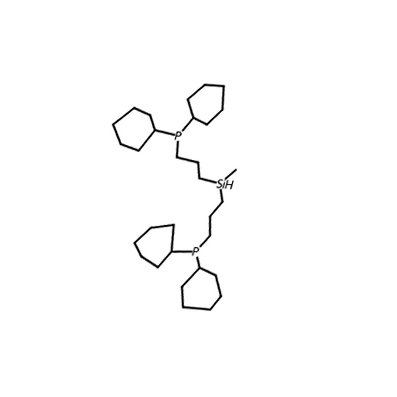 C[SiH](CCCP(C1CCCCC1)C1CCCCC1)CCCP(C1CCCCC1)C1CCCCC1